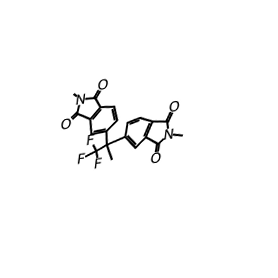 CN1C(=O)c2ccc(C(C)(c3ccc4c(c3)C(=O)N(C)C4=O)C(F)(F)F)cc2C1=O